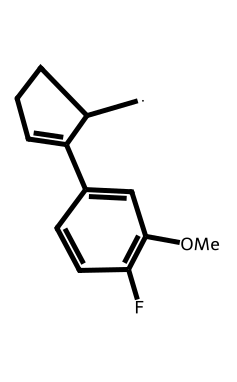 [CH2]C1CCC=C1c1ccc(F)c(OC)c1